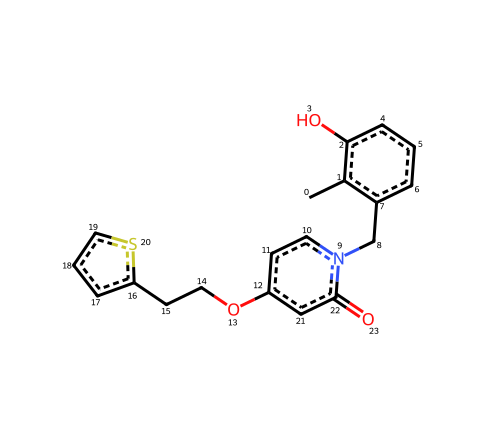 Cc1c(O)cccc1Cn1ccc(OCCc2cccs2)cc1=O